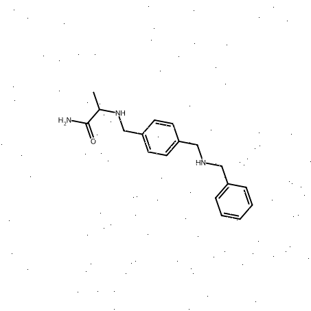 CC(NCc1ccc(CNCc2ccccc2)cc1)C(N)=O